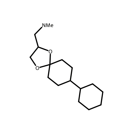 CNCC1COC2(CCC(C3CCCCC3)CC2)O1